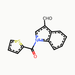 O=Cc1cn(C(=O)c2cccs2)c2ccccc12